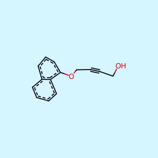 OCC#CCOc1cccc2ccccc12